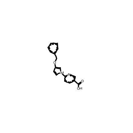 O=C(O)c1ccc([SH]2C=CC(OCc3ccccc3)=C2)nc1